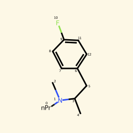 C[CH]CN(C)C(C)Cc1ccc(F)cc1